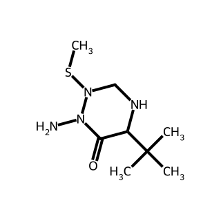 CSN1CNC(C(C)(C)C)C(=O)N1N